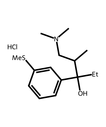 CCC(O)(c1cccc(SC)c1)C(C)CN(C)C.Cl